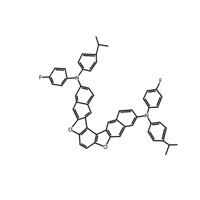 CC(C)c1ccc(N(c2ccc(F)cc2)c2ccc3cc4c(cc3c2)oc2ccc3oc5cc6cc(N(c7ccc(F)cc7)c7ccc(C(C)C)cc7)ccc6cc5c3c24)cc1